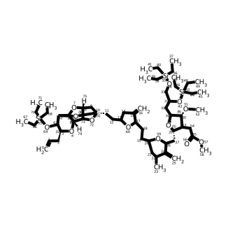 C=CC[C@@H]1O[C@@H]2C3O[C@@H]4C[C@](CCC5CC(=C)C(CCC6CC(C)C(=C)C(C[C@@H]7OC(CC(CO[Si](CC)(CC)CC)O[Si](CC)(CC)CC)[C@H](OC)C7CC(=O)OC)O6)O5)(OC3C1O[Si](CC)(CC)CC)OC24